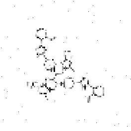 C=Cc1ccccc1-c1csc(C2CCN(C(Cn3nc(C(F)(F)F)cc3C)C(=O)C(Cn3nc(C(F)(F)F)cc3C)N3CCC(c4nc(-c5ccccc5C=C)cs4)CC3)CC2)n1